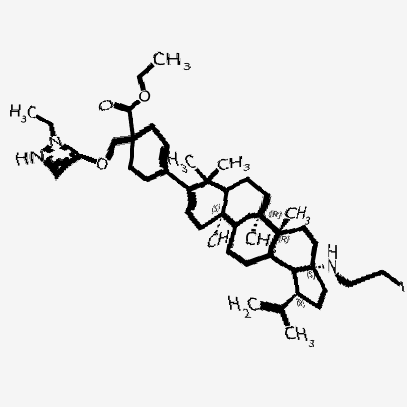 C=C(C)[C@@H]1CC[C@]2(NCCI)CC[C@]3(C)C(CCC4[C@@]5(C)CC=C(C6=CCC(COc7c[nH]n7CC)(C(=O)OCC)CC6)C(C)(C)C5CC[C@]43C)C12